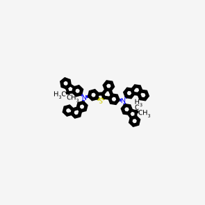 CC1(C)c2ccccc2-c2ccc(N(c3ccc4c(c3)sc3c5ccc(N(c6ccc7c(c6)C(C)(C)c6ccccc6-7)c6ccc7ccc8ccccc8c7c6)cc5c5ccccc5c43)c3ccc4ccc5ccccc5c4c3)cc21